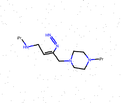 CC(C)NC/C=C(/CN1CCN(C(C)C)CC1)N=N